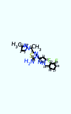 Cc1ccn(C(C)C2=NN(c3ccn(Cc4cccc(F)c4F)n3)C(N)S2)n1